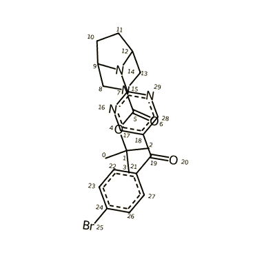 CC(C)(C)OC(=O)N1CC2CCC(C1)N2c1ncc(C(=O)c2ccc(Br)cc2)cn1